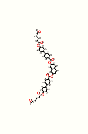 O=C(CCCC1CO1)Oc1ccc(-c2ccc(C(=O)Oc3ccc4ccc(OC(=O)c5ccc(-c6ccc(OC(=O)CCCC7CO7)cc6)cc5)cc4c3)cc2)cc1